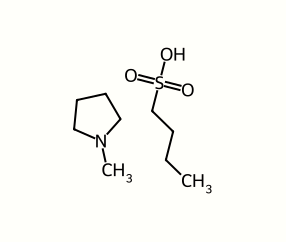 CCCCS(=O)(=O)O.CN1CCCC1